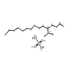 CCCCCCCCCCC(CCCC)N(C)C.O=S(=O)(O)O